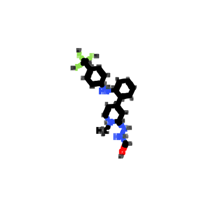 Cn1ccc(-c2ccccc2Nc2ccc(C(F)(F)F)cc2)c/c1=N/NC=O